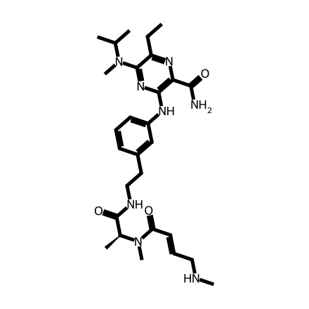 CCc1nc(C(N)=O)c(Nc2cccc(CCNC(=O)[C@H](C)N(C)C(=O)/C=C/CNC)c2)nc1N(C)C(C)C